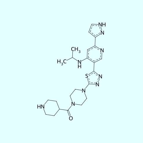 CC(C)Nc1cc(-c2cc[nH]n2)ncc1-c1nnc(N2CCN(C(=O)C3CCNCC3)CC2)s1